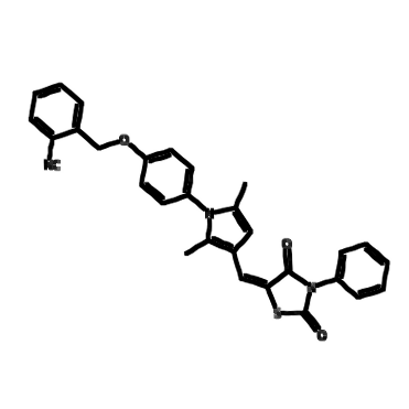 [C-]#[N+]c1ccccc1COc1ccc(-n2c(C)cc(C=C3SC(=O)N(c4ccccc4)C3=O)c2C)cc1